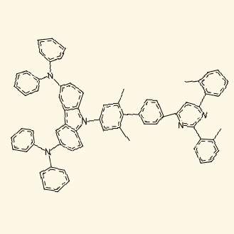 Cc1ccccc1-c1cc(-c2ccc(-c3c(C)cc(-n4c5ccc(N(c6ccccc6)c6ccccc6)cc5c5cc(N(c6ccccc6)c6ccccc6)ccc54)cc3C)cc2)nc(-c2ccccc2C)n1